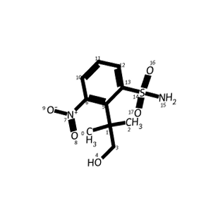 CC(C)(CO)c1c([N+](=O)[O-])cccc1S(N)(=O)=O